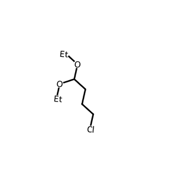 CCOC(CCCCl)OCC